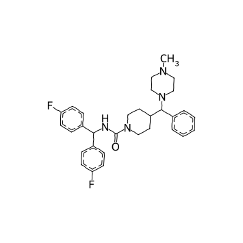 CN1CCN(C(c2ccccc2)C2CCN(C(=O)NC(c3ccc(F)cc3)c3ccc(F)cc3)CC2)CC1